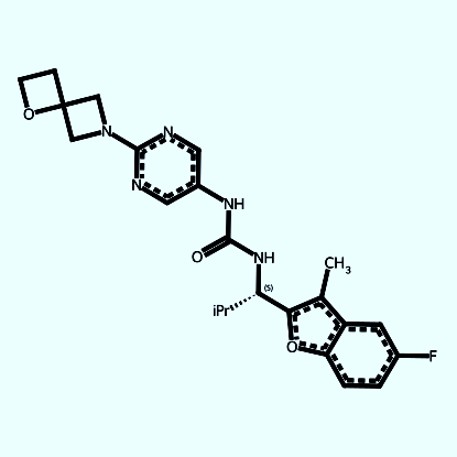 Cc1c([C@@H](NC(=O)Nc2cnc(N3CC4(CCO4)C3)nc2)C(C)C)oc2ccc(F)cc12